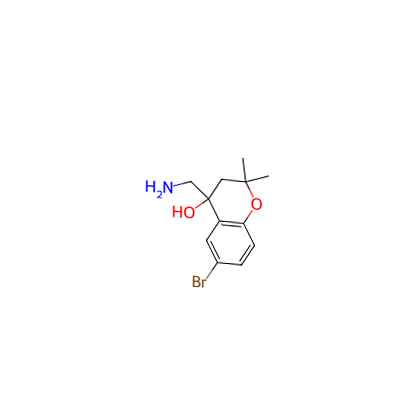 CC1(C)CC(O)(CN)c2cc(Br)ccc2O1